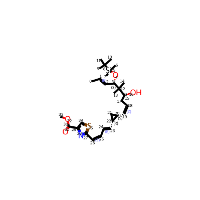 C/C=C/[C@H](O[Si](C)(C)C(C)(C)C)C(C)(C)[C@@H](O)C/C=C\[C@H]1C[C@H]1/C=C/C=C\c1nc(C(=O)OC)cs1